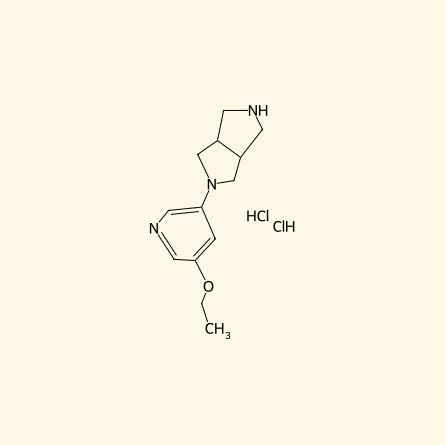 CCOc1cncc(N2CC3CNCC3C2)c1.Cl.Cl